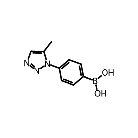 Cc1cnnn1-c1ccc(B(O)O)cc1